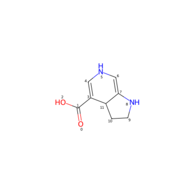 O=C(O)C1=CNC=C2NCCC21